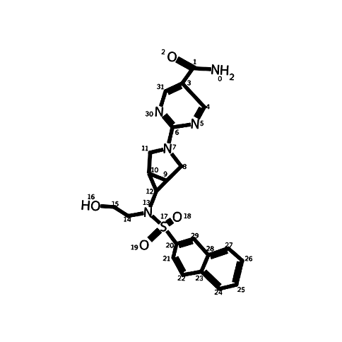 NC(=O)c1cnc(N2CC3C(C2)C3N(CCO)S(=O)(=O)c2ccc3ccccc3c2)nc1